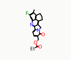 CCC(=O)OCc1ccc2n(c1=O)Cc1c-2nc2cc(F)c(C)c3c2c1CCC3